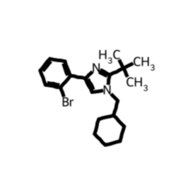 CC(C)(C)c1nc(-c2ccccc2Br)cn1CC1CCCCC1